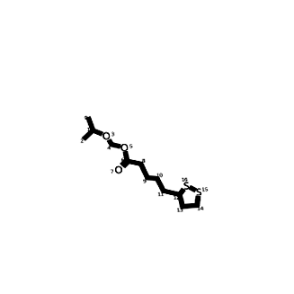 CC(C)OCOC(=O)CCCCC1CCSS1